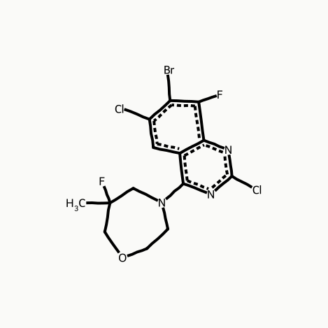 CC1(F)COCCN(c2nc(Cl)nc3c(F)c(Br)c(Cl)cc23)C1